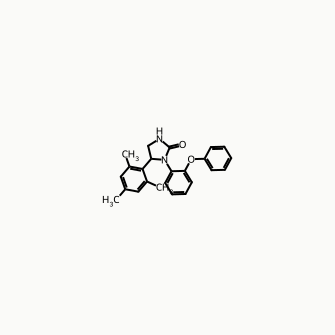 Cc1cc(C)c(C2CNC(=O)N2c2ccccc2Oc2ccccc2)c(C)c1